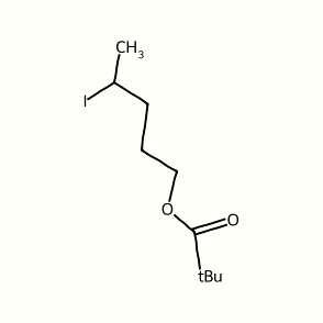 CC(I)CCCOC(=O)C(C)(C)C